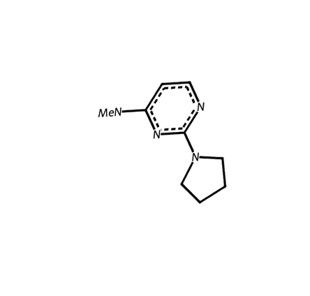 CNc1ccnc(N2CCCC2)n1